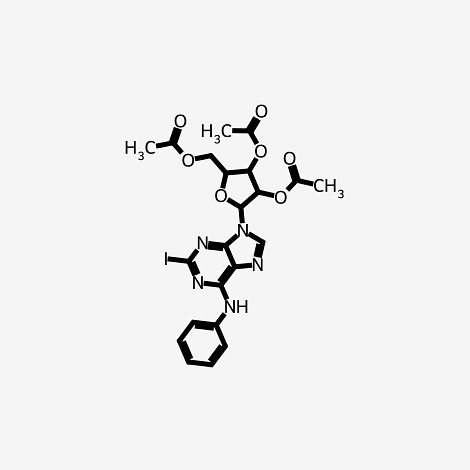 CC(=O)OCC1OC(n2cnc3c(Nc4ccccc4)nc(I)nc32)C(OC(C)=O)C1OC(C)=O